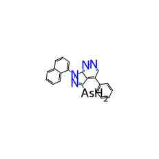 [AsH2]c1nn(-c2cccc3ccccc23)c2nncc(-c3ccccc3)c12